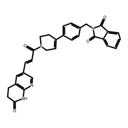 O=C1CCc2cc(C=CC(=O)N3CC=C(c4ccc(CN5C(=O)c6ccccc6C5=O)cc4)CC3)cnc2N1